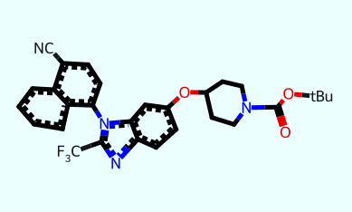 CC(C)(C)OC(=O)N1CCC(Oc2ccc3nc(C(F)(F)F)n(-c4ccc(C#N)c5ccccc45)c3c2)CC1